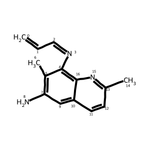 C=C/C=N\c1c(C)c(N)cc2ccc(C)nc12